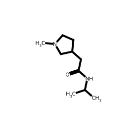 CC(C)NC(=O)CC1CCN(C)C1